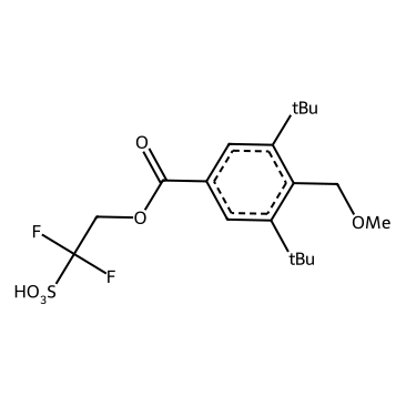 COCc1c(C(C)(C)C)cc(C(=O)OCC(F)(F)S(=O)(=O)O)cc1C(C)(C)C